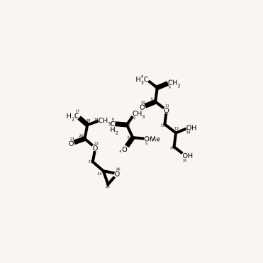 C=C(C)C(=O)OC.C=C(C)C(=O)OCC(O)CO.C=C(C)C(=O)OCC1CO1